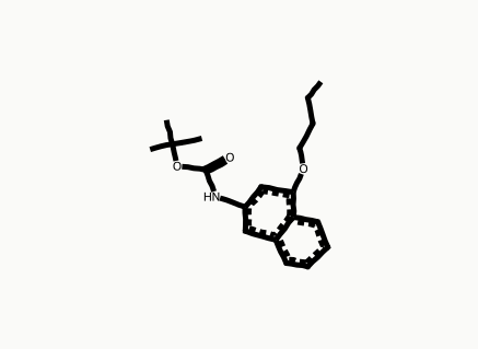 CCCCOc1cc(NC(=O)OC(C)(C)C)cc2ccccc12